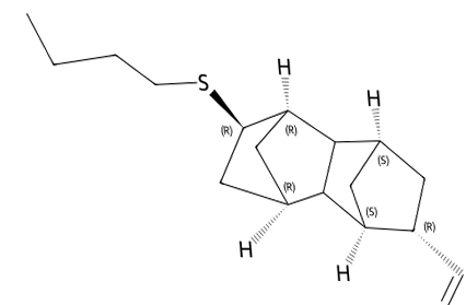 C=C[C@H]1C[C@H]2C[C@@H]1C1C2[C@H]2C[C@@H]1C[C@H]2SCCCC